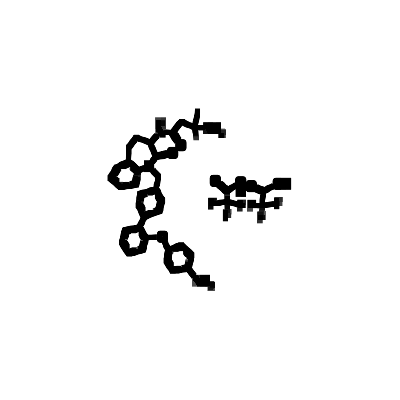 CC(C)(N)CC(=O)NC1CCc2ccccc2N(Cc2ccc(-c3ccccc3Oc3ccc(N)cc3)cc2)C1=O.O=C(O)C(F)(F)F.O=C(O)C(F)(F)F